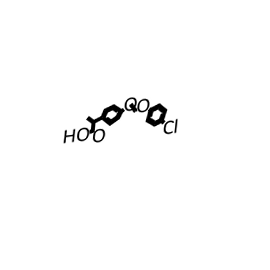 CC(C(=O)O)c1ccc(OCOc2ccc(Cl)cc2)cc1